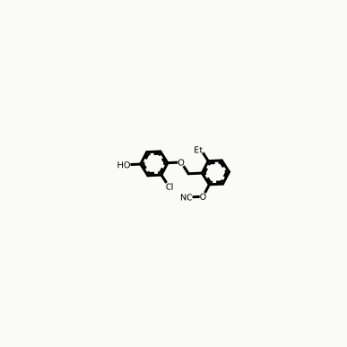 CCc1cccc(OC#N)c1COc1ccc(O)cc1Cl